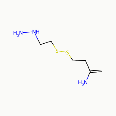 C=C(N)CCSSCCNN